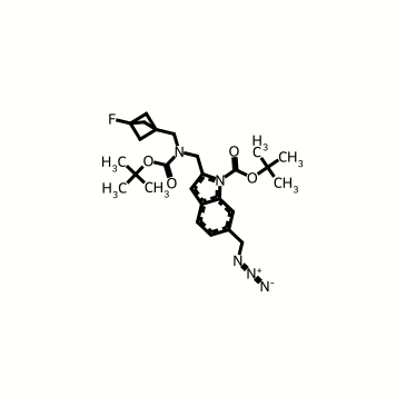 CC(C)(C)OC(=O)N(Cc1cc2ccc(CN=[N+]=[N-])cc2n1C(=O)OC(C)(C)C)CC12CC(F)(C1)C2